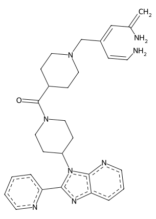 C=C(N)/C=C(\C=C/N)CN1CCC(C(=O)N2CCC(n3c(-c4ccccn4)nc4cccnc43)CC2)CC1